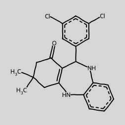 CC1(C)CC(=O)C2=C(C1)Nc1ccccc1NC2c1cc(Cl)cc(Cl)c1